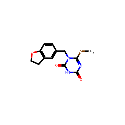 CSc1nc(=O)[nH]c(=O)n1Cc1ccc2c(c1)CCO2